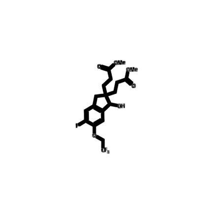 COC(=O)CCC1(CCC(=O)OC)Cc2cc(F)c(OCC(F)(F)F)cc2C1O